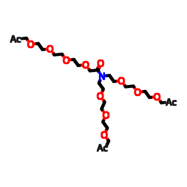 CC(=O)COCCOCCOCCOCC(=O)N(CCOCCOCCOCC(C)=O)CCOCCOCCOCC(C)=O